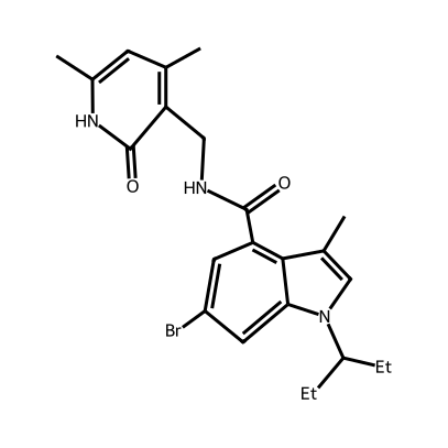 CCC(CC)n1cc(C)c2c(C(=O)NCc3c(C)cc(C)[nH]c3=O)cc(Br)cc21